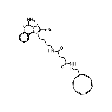 CCCCc1nc2c(N)nc3ccccc3c2n1CCCCNC(=O)CCC(=O)NNCC1=C/C=C\C=C/C=C\C=C/C=C\1